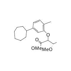 COC(=O)C(Oc1cc(C2CCCCCC2)ccc1C)[C@H](C)OC